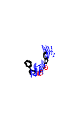 C[C@H](NC(=O)[C@H]1CC(c2ccccc2)=CCN1)C(=O)NC1CCc2nc(N)ccc21